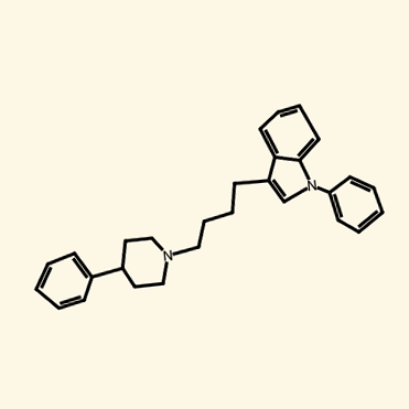 c1ccc(C2CCN(CCCCc3cn(-c4ccccc4)c4ccccc34)CC2)cc1